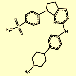 CN1CCC(c2ccc(Nc3ncc4c(n3)N(c3ccc(S(C)(=O)=O)cc3)CC4)cc2)CC1